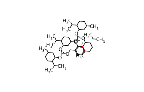 CC(C)C1CC[C@@H](C)C[C@H]1OP(OCc1ccccc1OP(O[C@@H]1C[C@H](C)CCC1C(C)C)O[C@@H]1C[C@H](C)CC[C@H]1C(C)C)O[C@@H]1C[C@H](C)CCC1C(C)C